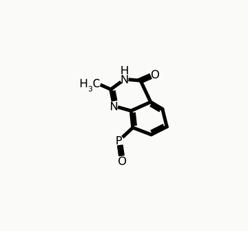 Cc1nc2c(P=O)cccc2c(=O)[nH]1